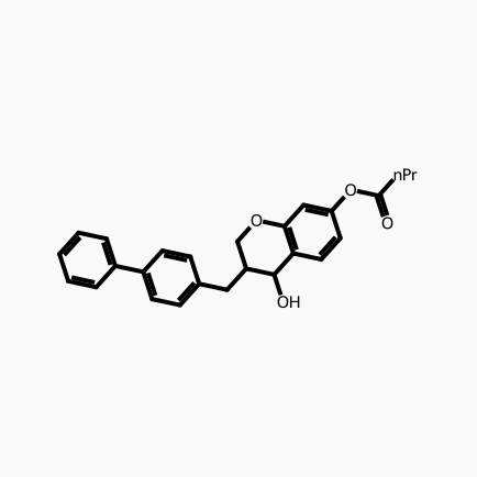 CCCC(=O)Oc1ccc2c(c1)OCC(Cc1ccc(-c3ccccc3)cc1)C2O